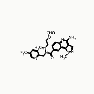 CN(CCOC=O)N(Cc1ccc(C(F)(F)F)cn1)C(=O)c1ccc2nc(N)c3cnn(C)c3c2c1